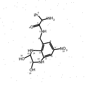 CC(C)C(N)C(=O)NCc1cc([N+](=O)[O-])cc2c1NC(O)C(O)N2